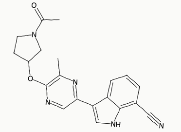 CC(=O)N1CCC(Oc2ncc(-c3c[nH]c4c(C#N)cccc34)nc2C)C1